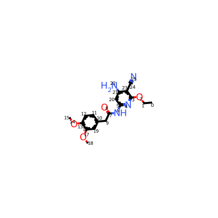 CCOc1nc(NC(=O)Cc2ccc(OC)c(OC)c2)cc(N)c1C#N